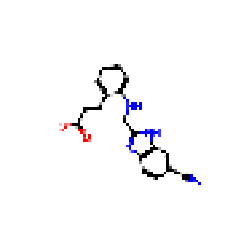 N#Cc1ccc2nc(CNc3ccccc3C=CC(=O)O)[nH]c2c1